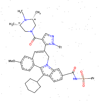 CCn1ncc(C(=O)N2C[C@@H](C)N(C)[C@@H](C)C2)c1C1=Cc2cc(OC)ccc2-c2c(C3CCCCC3)c3ccc(C(=O)NS(=O)(=O)C(C)C)cc3n2C1